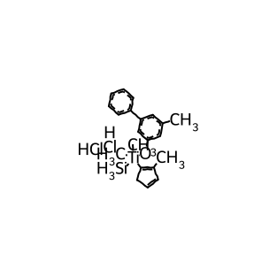 CC1=[C]([Ti]([CH3])([CH3])([SiH3])[O]c2cc(C)cc(-c3ccccc3)c2)CC=C1.Cl.Cl